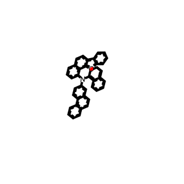 C1=c2ccccc2=C(N(c2ccc3c(ccc4ccccc43)c2)c2cccc3ccc4c5ccccc5oc4c23)CC1